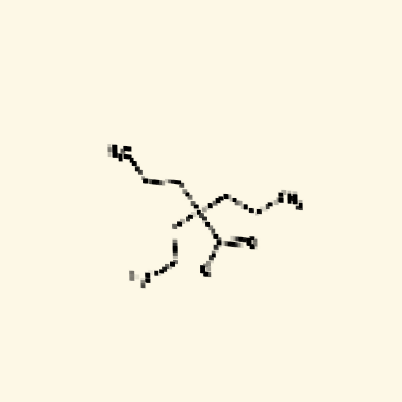 CCCC(CCC)(CCC)C(=O)O